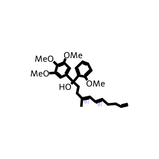 C=CCC/C=C/C=C(\C)CCC(O)(c1cc(OC)c(OC)c(OC)c1)c1ccccc1OC